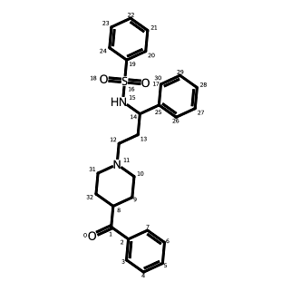 O=C(c1ccccc1)C1CCN(CCC(NS(=O)(=O)c2ccccc2)c2ccccc2)CC1